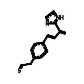 C=C(/C=C/c1ccc(CC=S)cc1)c1ncc[nH]1